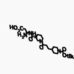 CC(C)(C)OC(=O)N1CCC(CCC(=O)N2CCC[C@@H](C(=O)N[C@@H](N)CC(=O)O)C2)CC1